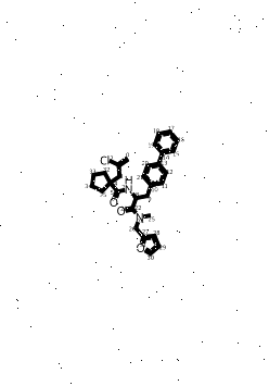 C=C(Cl)CC1(C(=O)NC(Cc2ccc(-c3ccccc3)cc2)C(=O)N(C)Cc2ccco2)CCCC1